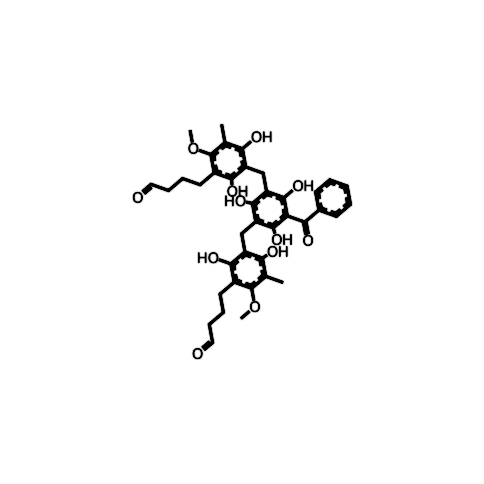 COc1c(C)c(O)c(Cc2c(O)c(Cc3c(O)c(C)c(OC)c(CCCC=O)c3O)c(O)c(C(=O)c3ccccc3)c2O)c(O)c1CCCC=O